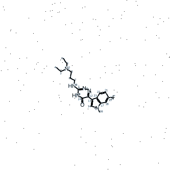 CCN(CC)CCCNc1nnc(-c2cn(C)c3cc(F)ccc23)c(=O)[nH]1